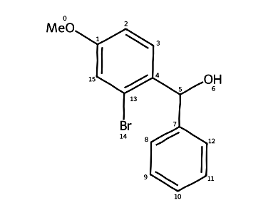 COc1ccc(C(O)c2ccccc2)c(Br)c1